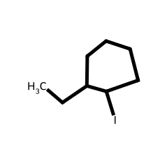 CCC1CCCCC1I